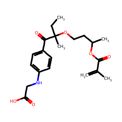 C=C(C)C(=O)OC(C)CCOC(C)(CC)C(=O)c1ccc(NCC(=O)O)cc1